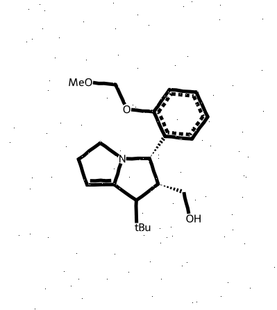 COCOc1ccccc1[C@@H]1[C@H](CO)C(C(C)(C)C)C2=CCCN21